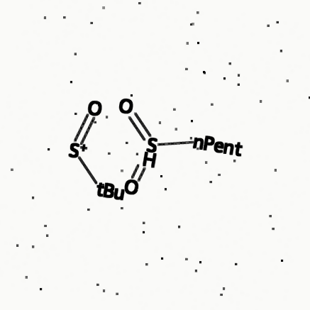 CC(C)(C)[S+]=O.CCCCC[SH](=O)=O